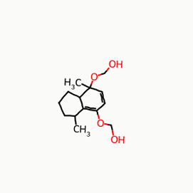 CC1CCCC2C1=C(OCO)C=CC2(C)OCO